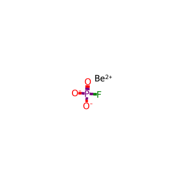 O=P([O-])([O-])F.[Be+2]